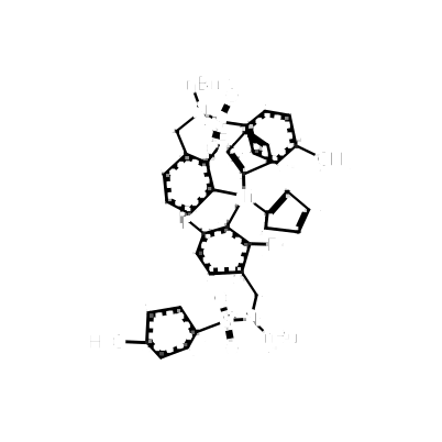 CCCCN(Cc1ccc(F)[c]([Ti]([C]2=CC=CC2)([C]2=CC=CC2)[c]2c(F)ccc(CN(CCCC)S(=O)(=O)c3ccc(C)cc3)c2F)c1F)S(=O)(=O)c1ccc(C)cc1